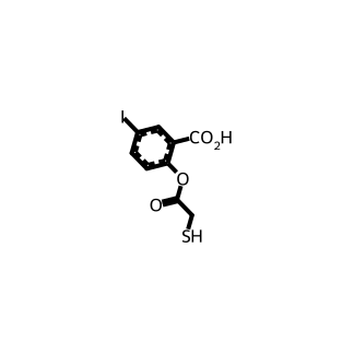 O=C(CS)Oc1ccc(I)cc1C(=O)O